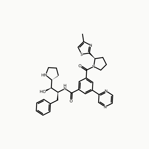 Cc1csc([C@H]2CCCN2C(=O)c2cc(C(=O)N[C@@H](Cc3ccccc3)[C@@H](O)[C@H]3CCCN3)cc(-c3cnccn3)c2)n1